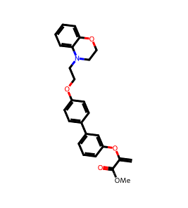 C=C(Oc1cccc(-c2ccc(OCCN3CCOc4ccccc43)cc2)c1)C(=O)OC